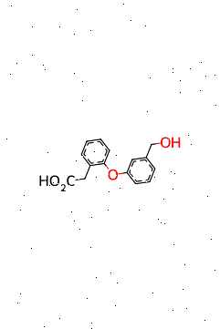 O=C(O)Cc1ccccc1Oc1cccc(CO)c1